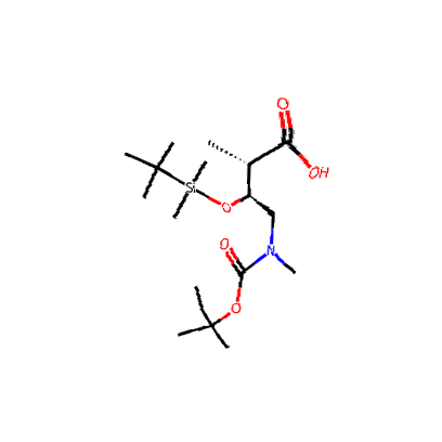 C[C@H](C(=O)O)[C@@H](CN(C)C(=O)OC(C)(C)C)O[Si](C)(C)C(C)(C)C